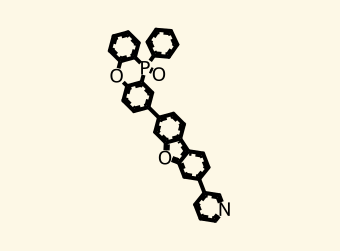 O=P1(c2ccccc2)c2ccccc2Oc2ccc(-c3ccc4c(c3)oc3cc(-c5cccnc5)ccc34)cc21